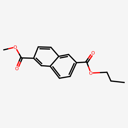 CCCOC(=O)c1ccc2cc(C(=O)OC)ccc2c1